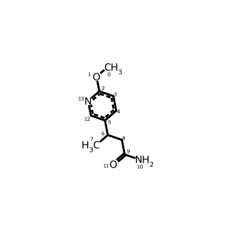 COc1ccc(C(C)CC(N)=O)cn1